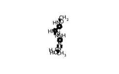 C=CC(=O)Nc1cccc(-c2c[nH]c3cnc(Nc4ccc(N5CCN(CC(C)(C)O)CC5)cc4)nc23)c1